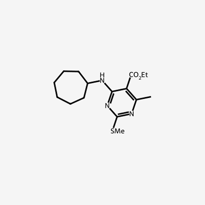 CCOC(=O)c1c(C)nc(SC)nc1NC1CCCCCC1